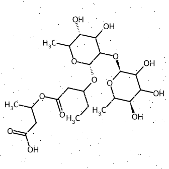 CCC(CC(=O)OC(C)CC(=O)O)O[C@@H]1OC(C)[C@H](O)C(O)C1O[C@@H]1OC(C)[C@H](O)C(O)C1O